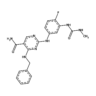 CNC(=O)Nc1cc(Nc2ncc(C(N)=O)c(NCc3ccccc3)n2)ccc1F